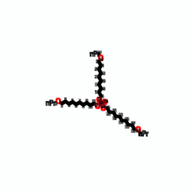 CCCOCCCCCCCCCCOP(=O)(OCCCCCCCCCCOCCC)OCCCCCCCCCCOCCC